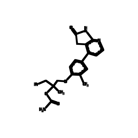 CC(C)CC(C)(COc1ccc(-c2ccnc3c2CC(=O)N3)cc1C(F)(F)F)OC(N)=O